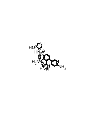 Nc1ccc(-c2ccc(S(=O)(=O)N[C@H]3CNC[C@H]3O)c(S(N)(=O)=O)c2-c2nn[nH]n2)cn1